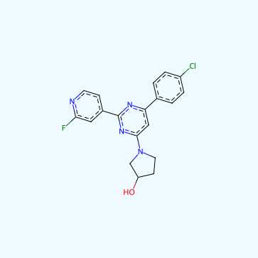 OC1CCN(c2cc(-c3ccc(Cl)cc3)nc(-c3ccnc(F)c3)n2)C1